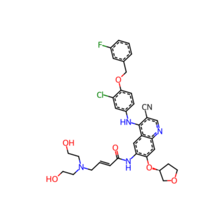 N#Cc1cnc2cc(O[C@H]3CCOC3)c(NC(=O)/C=C/CN(CCO)CCO)cc2c1Nc1ccc(OCc2cccc(F)c2)c(Cl)c1